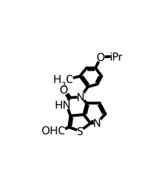 Cc1cc(OC(C)C)ccc1N1C(=O)Nc2c(C=O)sc3nccc1c23